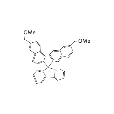 COCc1ccc2cc(C3(c4ccc5cc(COC)ccc5c4)c4ccccc4-c4ccccc43)ccc2c1